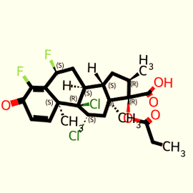 CCC(=O)O[C@]1(C(=O)O)[C@H](C)C[C@H]2[C@@H]3C[C@H](F)C4=C(F)C(=O)C=C[C@]4(C)[C@@]3(Cl)[C@@H](Cl)C[C@@]21C